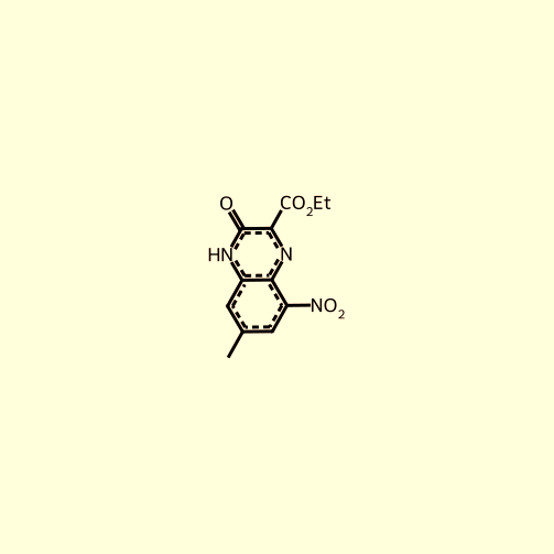 CCOC(=O)c1nc2c([N+](=O)[O-])cc(C)cc2[nH]c1=O